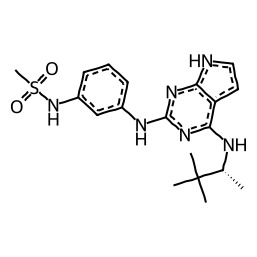 C[C@@H](Nc1nc(Nc2cccc(NS(C)(=O)=O)c2)nc2[nH]ccc12)C(C)(C)C